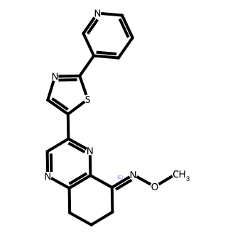 CO/N=C1\CCCc2ncc(-c3cnc(-c4cccnc4)s3)nc21